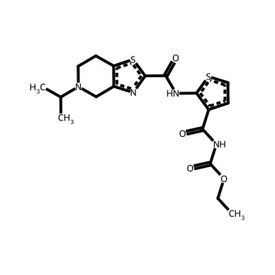 CCOC(=O)NC(=O)c1ccsc1NC(=O)c1nc2c(s1)CCN(C(C)C)C2